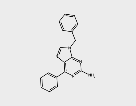 Nc1nc(-c2ccccc2)c2ncn(Cc3ccccc3)c2n1